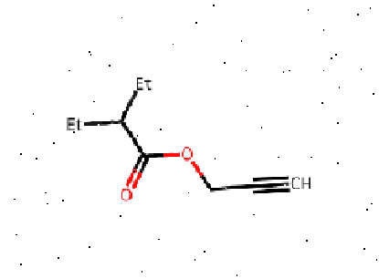 C#CCOC(=O)C(CC)CC